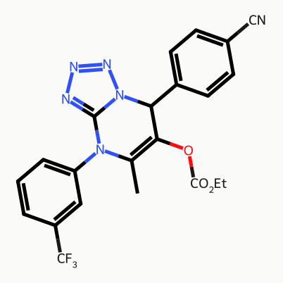 CCOC(=O)OC1=C(C)N(c2cccc(C(F)(F)F)c2)c2nnnn2C1c1ccc(C#N)cc1